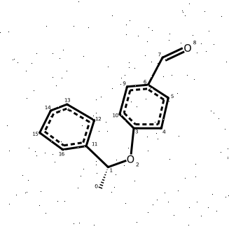 C[C@@H](Oc1ccc(C=O)cc1)c1ccccc1